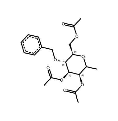 CC(=O)OC[C@H]1OC(C)[C@@H](OC(C)=O)[C@@H](OC(C)=O)[C@@H]1OCc1ccccc1